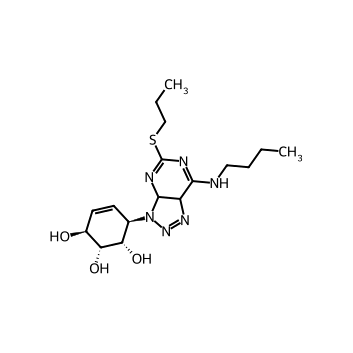 CCCCNC1=NC(SCCC)=NC2C1N=NN2[C@@H]1C=C[C@H](O)[C@@H](O)[C@H]1O